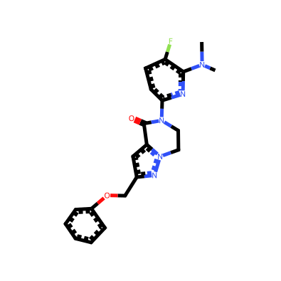 CN(C)c1nc(N2CCn3nc(COc4ccccc4)cc3C2=O)ccc1F